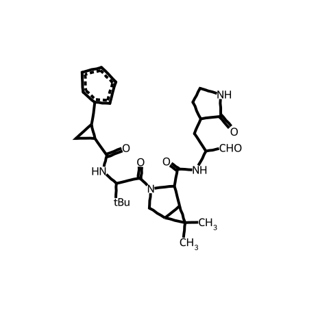 CC(C)(C)C(NC(=O)C1CC1c1ccccc1)C(=O)N1CC2C(C1C(=O)NC(C=O)CC1CCNC1=O)C2(C)C